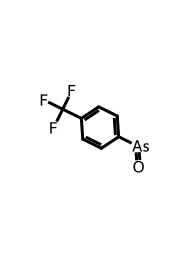 O=[As]c1ccc(C(F)(F)F)cc1